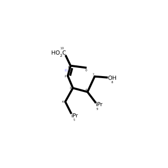 C/C(=C\C(CC(C)C)C(CO)C(C)C)C(=O)O